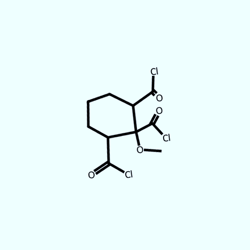 COC1(C(=O)Cl)C(C(=O)Cl)CCCC1C(=O)Cl